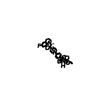 CCOC(=O)NS(=O)(=O)c1ccc(N2CCN(C(=O)[C@@H](C)N3CCCc4cc(F)ccc43)CC2)cc1